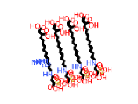 N.N.N.N.O=C(O)CC(CCCCCCCCCCCCNC(=O)CC(C(=O)O)S(=O)(=O)O)C(=O)O.O=C(O)CC(CCCCCCCCCCCCNC(=O)CC(C(=O)O)S(=O)(=O)O)C(=O)O.O=C(O)CC(CCCCCCCCCCCCNC(=O)CC(C(=O)O)S(=O)(=O)O)C(=O)O.O=C(O)CC(CCCCCCCCCCCCNC(=O)CC(C(=O)O)S(=O)(=O)O)C(=O)O